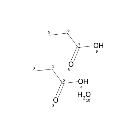 CCC(=O)O.CCC(=O)O.O